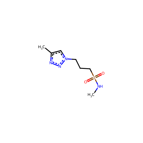 CNS(=O)(=O)CCCn1cc(C)nn1